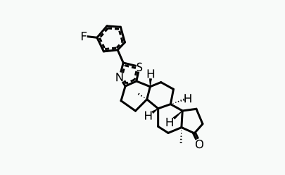 C[C@]12CCc3nc(-c4cccc(F)c4)sc3[C@@H]1CC[C@@H]1[C@@H]2CC[C@]2(C)C(=O)CC[C@@H]12